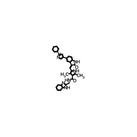 Cc1[nH]c(/C=C2\C(=O)Nc3ccc(-c4cnn(-c5ccccc5)c4)cc32)c(C)c1C(=O)NCc1nc2ccccc2[nH]1